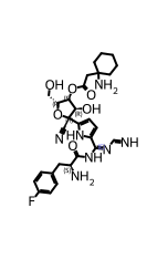 N#C[C@@]1(c2ccc(/C(=N\C=N)NC(=O)[C@@H](N)Cc3ccc(F)cc3)[nH]2)O[C@H](CO)[C@@H](OC(=O)CC2(N)CCCCC2)[C@H]1O